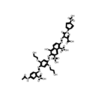 CC(=O)Nc1ccc(/N=N/c2cc(OCCO)c(/N=N/c3c(S(=O)(=O)O)cc4c(S(=O)(=O)O)c(/N=N/C5C(=O)N(c6ccc(S(=O)(=O)O)cc6)N=C5C(=O)O)ccc4c3O)cc2OCCO)c(S(=O)(=O)O)c1